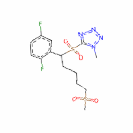 Cn1nnnc1S(=O)(=O)C(CCCCS(C)(=O)=O)c1cc(F)ccc1F